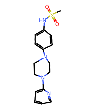 CS(=O)(=O)Nc1ccc(N2CCN(c3ccccn3)CC2)cc1